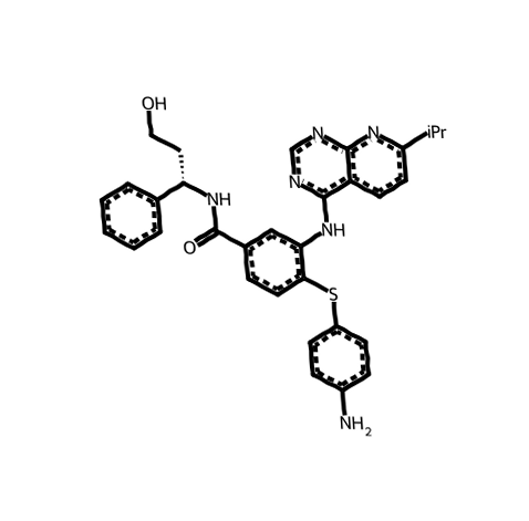 CC(C)c1ccc2c(Nc3cc(C(=O)N[C@@H](CCO)c4ccccc4)ccc3Sc3ccc(N)cc3)ncnc2n1